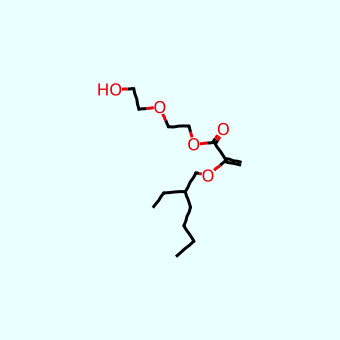 C=C(OCC(CC)CCCC)C(=O)OCCOCCO